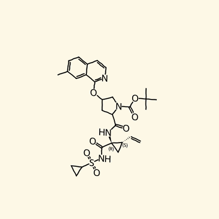 C=C[C@@H]1C[C@]1(NC(=O)C1CC(Oc2nccc3ccc(C)cc23)CN1C(=O)OC(C)(C)C)C(=O)NS(=O)(=O)C1CC1